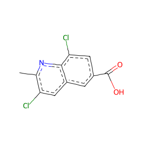 Cc1nc2c(Cl)cc(C(=O)O)cc2cc1Cl